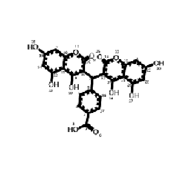 O=C(O)c1ccc(C(c2c(O)c3c(O)cc(O)cc3oc2=O)c2c(O)c3c(O)cc(O)cc3oc2=O)cc1